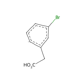 O=C(O)Cc1[c]ccc(Br)c1